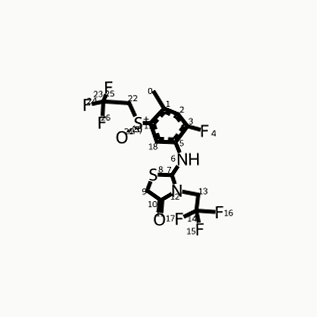 Cc1cc(F)c(NC2SCC(=O)N2CC(F)(F)F)cc1[S@+]([O-])CC(F)(F)F